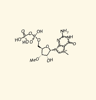 CO[C@H]1[C@@H](O)[C@H](n2c[n+](C)c3c(=O)[nH]c(N)nc32)O[C@@H]1COP(=O)(O)OP(=O)(O)O